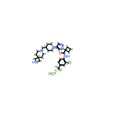 Cl.O=C(Nc1ccc(C(F)(F)F)cc1Cl)C1(n2cc(N3CCC(CN4CCC5(CC4)CNC5)CC3)cn2)CCC1